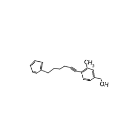 Cc1cc(CO)ccc1C#CCCCCc1ccccc1